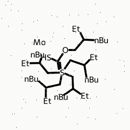 CCCCC(CC)COC(S)=S(CC(CC)CCCC)(CC(CC)CCCC)(CC(CC)CCCC)CC(CC)CCCC.[Mo]